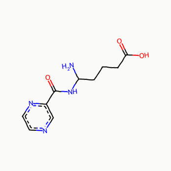 NC(CCCC(=O)O)NC(=O)c1cnccn1